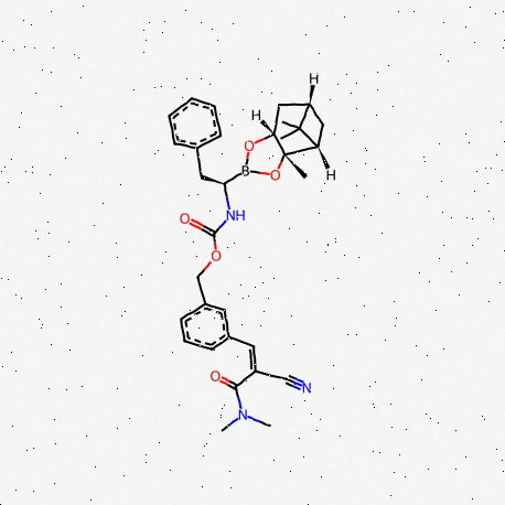 CN(C)C(=O)C(C#N)=Cc1cccc(COC(=O)N[C@@H](Cc2ccccc2)B2O[C@@H]3C[C@@H]4C[C@@H](C4(C)C)[C@]3(C)O2)c1